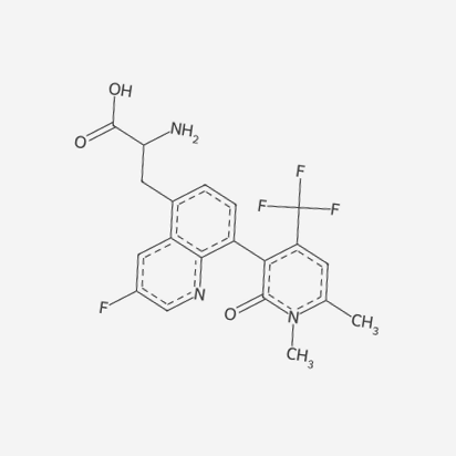 Cc1cc(C(F)(F)F)c(-c2ccc(CC(N)C(=O)O)c3cc(F)cnc23)c(=O)n1C